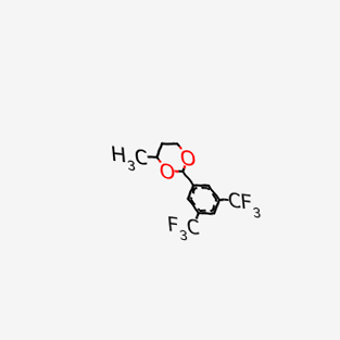 CC1CCOC(c2cc(C(F)(F)F)cc(C(F)(F)F)c2)O1